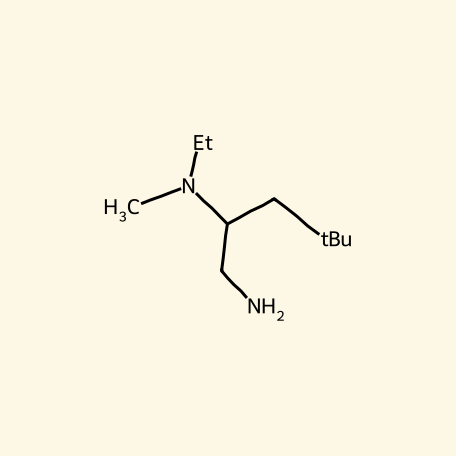 CCN(C)C(CN)CC(C)(C)C